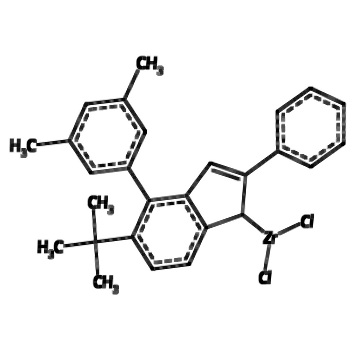 Cc1cc(C)cc(-c2c(C(C)(C)C)ccc3c2C=C(c2ccccc2)[CH]3[Zr]([Cl])[Cl])c1